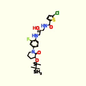 CC(C)([SiH3])[Si](C)(C)OC1CCCN(c2ccc(NC[C@H](O)CNC(=O)c3ccc(Cl)s3)c(F)c2)C1=O